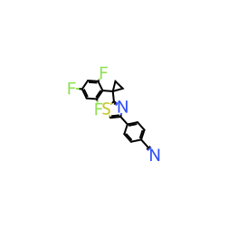 N#Cc1ccc(-c2csc(C3(c4c(F)cc(F)cc4F)CC3)n2)cc1